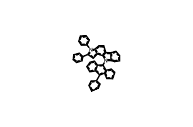 c1ccc(-c2c3ccccc3c(-n3c4ccccc4c4ccc5c(cc(-c6ccccc6)n5-c5ccccc5)c43)c3ccccc23)cc1